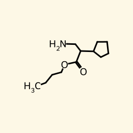 CCCCOC(=O)C(CN)C1CCCC1